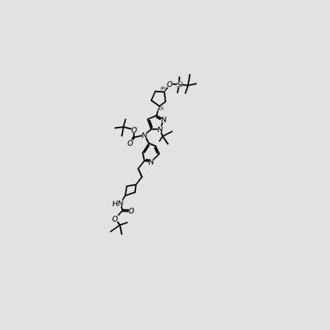 CC(C)(C)OC(=O)NC1CC(CCc2cc(N(C(=O)OC(C)(C)C)c3cc([C@H]4CC[C@@H](O[Si](C)(C)C(C)(C)C)C4)nn3C(C)(C)C)ccn2)C1